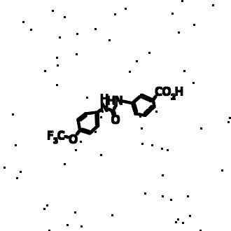 O=C(Nc1ccc(OC(F)(F)F)cc1)Nc1cccc(C(=O)O)c1